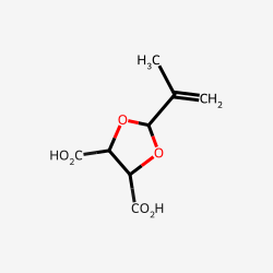 C=C(C)C1OC(C(=O)O)C(C(=O)O)O1